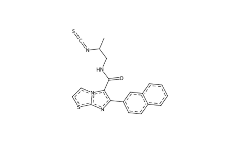 CC(CNC(=O)c1c(-c2ccc3ccccc3c2)nc2sccn12)N=C=S